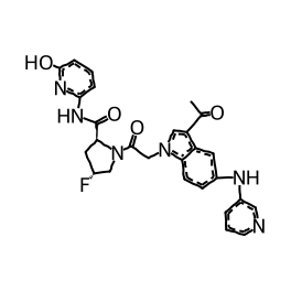 CC(=O)c1cn(CC(=O)N2C[C@H](F)C[C@H]2C(=O)Nc2cccc(O)n2)c2ccc(Nc3cccnc3)cc12